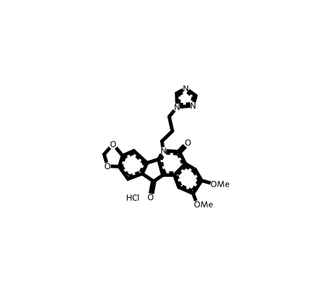 COc1cc2c3c(n(CCCn4cncn4)c(=O)c2cc1OC)-c1cc2c(cc1C3=O)OCO2.Cl